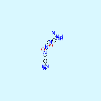 Cn1cnc(-c2ccc(C3=CCN(C(=O)CN4CC[C@]5(CCN(c6ccc7c(c6)C(C#N)NN7)C5=O)C4)CC3)cc2)n1